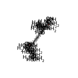 NCC1O[C@H](OC2C(N)C[C@@H](N)C(O)[C@H]2O[C@@H]2O[C@H](CNC(=O)NCCCCCCCCCCCCNC(=O)NC[C@H]3O[C@@H](OC4C(O[C@@H]5OC(CN)C(O)[C@H](O)C5N)C(N)C[C@H](N)[C@@H]4O)C(O)C3O[C@@H]3O[C@H](CN)C(O)C(O)C3N)C(O[C@H]3O[C@@H](CN)C(O)C(O)C3N)[C@@H]2O)C(N)[C@@H](O)C1O